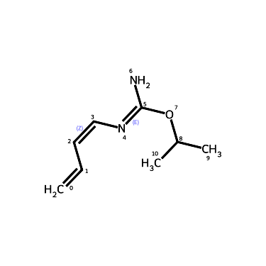 C=C/C=C\N=C(/N)OC(C)C